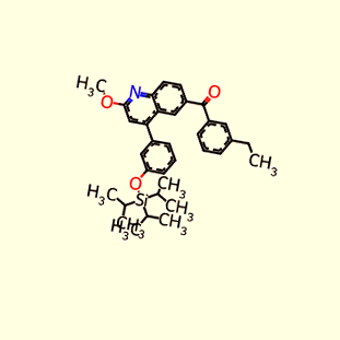 CCc1cccc(C(=O)c2ccc3nc(OC)cc(-c4cccc(O[Si](C(C)C)(C(C)C)C(C)C)c4)c3c2)c1